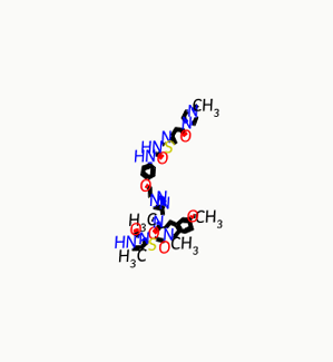 COc1ccc2c(c1)C[C@H](C(=O)N(C)Cc1cn(CCOc3ccc(NC(=O)Nc4nc(CC(=O)N5CCN(C)CC5)cs4)cc3)nn1)N(C(=O)CSc1nc(=O)[nH]cc1C)[C@@H]2C